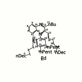 CCCCCCCCCCCCCC#Cc1cccc(N=C(CCCC)C(C=CCCCCCCCCCCCCC)=Nc2ccc(CCCCC)c(CCCCC)c2)c1.[Pd]